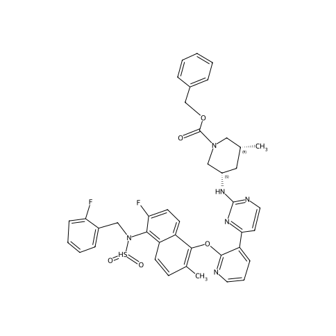 Cc1ccc2c(N(Cc3ccccc3F)[SH](=O)=O)c(F)ccc2c1Oc1ncccc1-c1ccnc(N[C@H]2C[C@@H](C)CN(C(=O)OCc3ccccc3)C2)n1